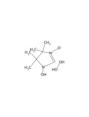 CC1(C)N(O)C=[N+]([O-])C1(C)C.OO